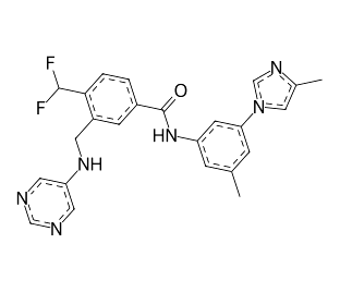 Cc1cc(NC(=O)c2ccc(C(F)F)c(CNc3cncnc3)c2)cc(-n2cnc(C)c2)c1